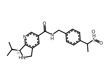 CC(C)[C@@H]1NCc2cc(C(=O)NCc3ccc(C(C)[SH](=O)=O)cc3)cnc21